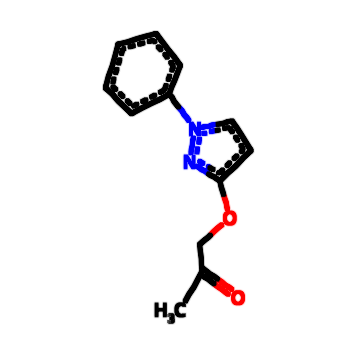 CC(=O)COc1ccn(-c2ccccc2)n1